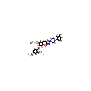 COc1cc(C=C2SC(N3CCN(c4cccc(C)c4C)CC3)=NC2=O)ccc1OCc1ccc(C(F)(F)F)cc1C(F)(F)F